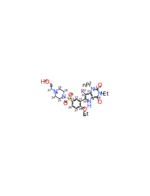 CCCn1c(=O)n(CC)c(=O)c2[nH]c(-c3cc(S(=O)(=O)N4CCN(CCO)CC4)ccc3OCC)c(I)c21